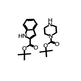 CC(C)(C)OC(=O)N1CCNCC1.CC(C)(C)OC(=O)c1cc2ccccc2[nH]1